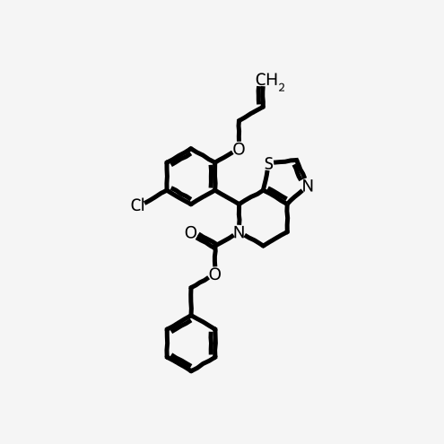 C=CCOc1ccc(Cl)cc1C1c2scnc2CCN1C(=O)OCc1ccccc1